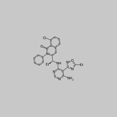 CCc1nc(-c2c(N)ncnc2N[C@@H](CC)c2cc3cccc(Cl)c3c(=O)n2-c2ccccc2)no1